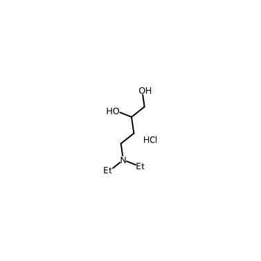 CCN(CC)CCC(O)CO.Cl